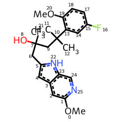 COc1cc2cc(CC(O)(CC(C)(C)c3cc(F)ccc3OC)C(F)(F)F)[nH]c2cn1